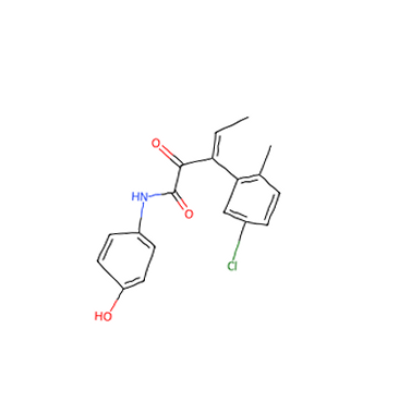 C/C=C(/C(=O)C(=O)Nc1ccc(O)cc1)c1cc(Cl)ccc1C